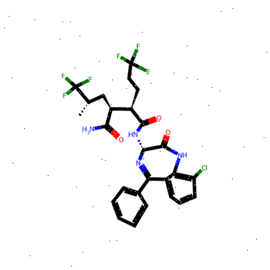 C[C@@H](C[C@H](C(N)=O)[C@@H](CCC(F)(F)F)C(=O)N[C@H]1N=C(c2ccccc2)c2cccc(Cl)c2NC1=O)C(F)(F)F